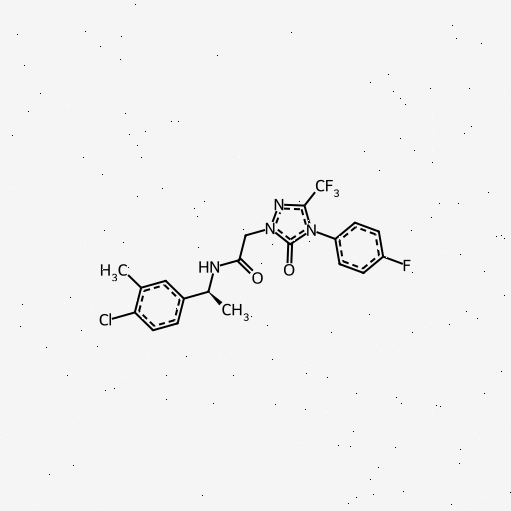 Cc1cc([C@H](C)NC(=O)Cn2nc(C(F)(F)F)n(-c3ccc(F)cc3)c2=O)ccc1Cl